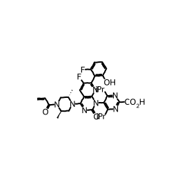 C=CC(=O)N1C[C@H](C)N(c2nc(=O)n(-c3c(C(C)C)nc(C(=O)O)nc3C(C)C)c3nc(-c4c(O)cccc4F)c(F)cc23)C[C@H]1C